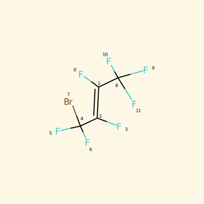 FC(=C(F)C(F)(F)Br)C(F)(F)F